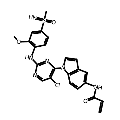 C=CC(=O)Nc1ccc2c(ccn2-c2nc(Nc3ccc(S(C)(=N)=O)cc3OC)ncc2Cl)c1